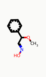 COC(C=NO)c1ccccc1